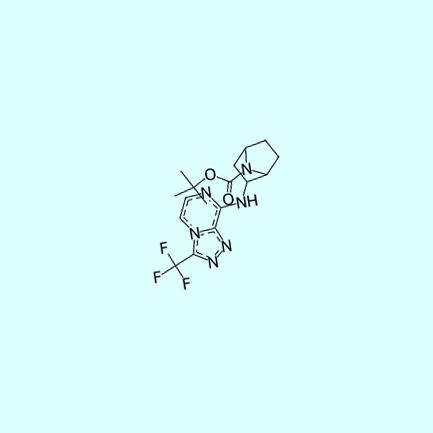 CC(C)(C)OC(=O)N1C2CCC1C(Nc1nccn3c(C(F)(F)F)nnc13)C2